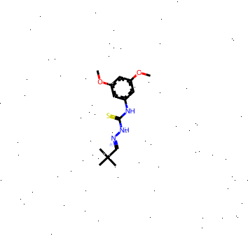 COc1cc(NC(=S)N/N=C/C(C)(C)C)cc(OC)c1